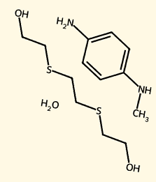 CNc1ccc(N)cc1.O.OCCSCCSCCO